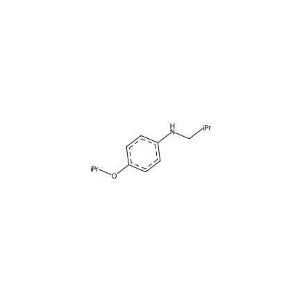 CC(C)CNc1ccc(OC(C)C)cc1